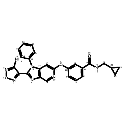 Nc1nonc1-c1nc2cnc(Oc3cccc(C(=O)NCC4CC4)c3)cc2n1-c1ccccc1